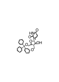 O=CC1[C@@H](O)C(n2ccc(=O)[nH]c2=O)O[C@@H]1COC(c1ccccc1)(c1ccccc1)c1ccccc1